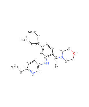 CC[C@H](c1ccc([C@@H](COC)CC(=O)O)cc1Nc1ccc(COC)nc1)N1CCOCC1